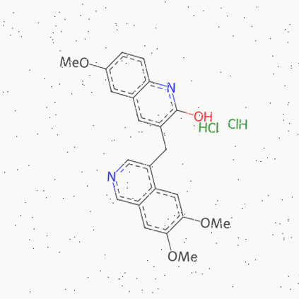 COc1ccc2nc(O)c(Cc3cncc4cc(OC)c(OC)cc34)cc2c1.Cl.Cl